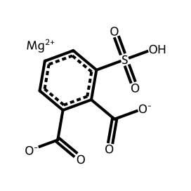 O=C([O-])c1cccc(S(=O)(=O)O)c1C(=O)[O-].[Mg+2]